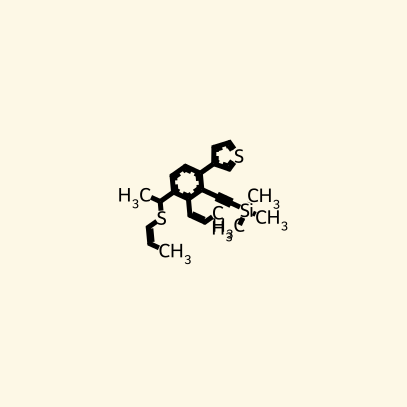 C/C=C\SC(C)c1ccc(-c2ccsc2)c(C#C[Si](C)(C)C)c1/C=C\C